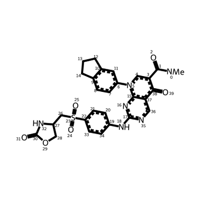 CNC(=O)c1cn(-c2ccc3c(c2)CCC3)c2nc(Nc3ccc(S(=O)(=O)CC4COC(=O)N4)cc3)ncc2c1=O